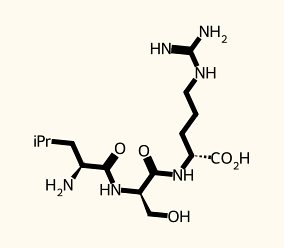 CC(C)C[C@H](N)C(=O)N[C@H](CO)C(=O)N[C@H](CCCNC(=N)N)C(=O)O